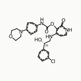 O=C(Nc1ccc(N2CCOCC2)cc1)Oc1c(NC[C@@H](O)c2cccc(Cl)c2)cc[nH]c1=O